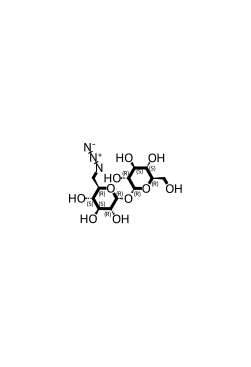 [N-]=[N+]=NC[C@H]1O[C@H](O[C@H]2O[C@H](CO)[C@@H](O)[C@H](O)[C@H]2O)[C@H](O)[C@@H](O)[C@@H]1O